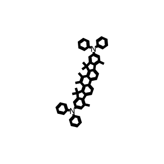 Cc1cc(N(c2ccccc2)c2ccccc2)cc2c1-c1ccc3c(c(C)c(C)c4c5c(ccc43)-c3c(C)cc(N(c4ccccc4)c4ccccc4)cc3C5(C)C)c1C2(C)C